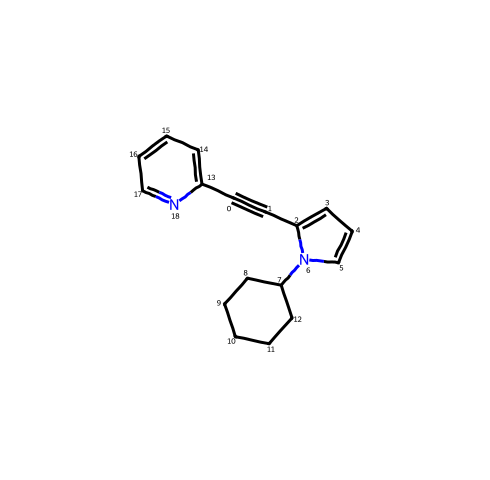 C(#Cc1cccn1C1CCCCC1)c1ccccn1